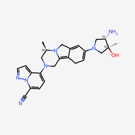 C[C@@H]1CN(c2ccc(C#N)n3nccc23)CC2=C3CC=C(N4C[C@H](N)[C@@](C)(O)C4)C=C3CN21